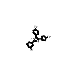 Brc1ccc(-c2nc(-c3cccc(Br)c3)[nH]c2-c2ccc(Br)cc2)cc1